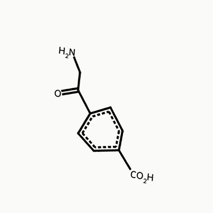 NCC(=O)c1ccc(C(=O)O)cc1